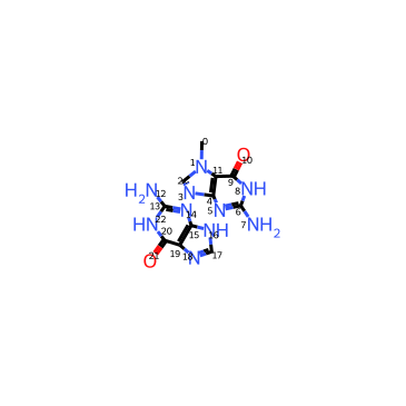 Cn1cnc2nc(N)[nH]c(=O)c21.Nc1nc2[nH]cnc2c(=O)[nH]1